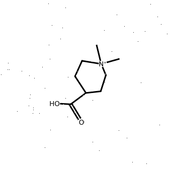 C[N+]1(C)CCC(C(=O)O)CC1